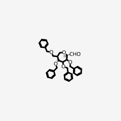 O=C[C@H]1OCC(COCc2ccccc2)[C@@H](OCc2ccccc2)C(OCc2ccccc2)C1OCc1ccccc1